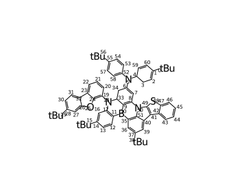 CC(C)(C)C1=CCC(N(C2=CC3=C4B(c5ccc(C(C)(C)C)cc5N(c5cccc6c5oc5cc(C(C)(C)C)ccc56)C4C2)c2cc(C(C)(C)C)cc4c5c6ccccc6sc5n3c24)c2ccc(C(C)(C)C)cc2)C=C1